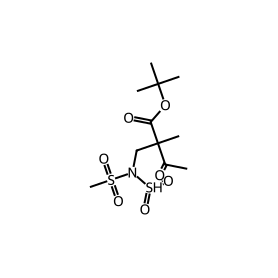 CC(=O)C(C)(CN([SH](=O)=O)S(C)(=O)=O)C(=O)OC(C)(C)C